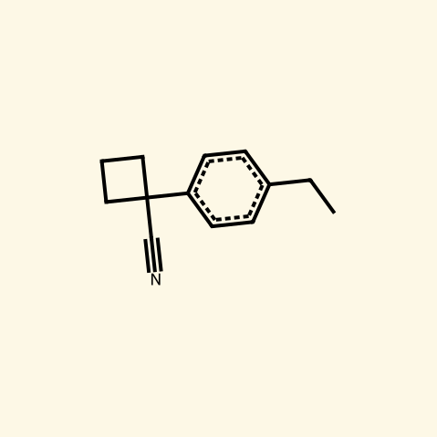 CCc1ccc(C2(C#N)CCC2)cc1